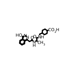 CC(NC(=O)Cc1nnc(O)c2ccccc12)C(=O)NCC1CCC(C(=O)O)CC1